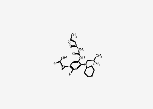 Cc1cc(NC(=O)Nc2cc(C3CC3C(=O)O)c(F)cc2N(CC(C)C)C2CCCCC2)no1